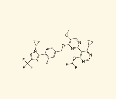 COc1cnc(-c2c(OC(F)F)ncnc2C2CC2)nc1OCc1ccc(-c2nc(C(F)(F)F)cn2C2CC2)c(F)c1